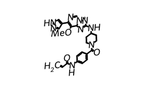 C=CC(=O)Nc1ccc(C(=O)N2CCC(NC3=NC4C(OC)=C(c5cn[nH]c5)N=C[N+]4=N3)CC2)cc1